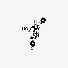 O=C(O)CC(NC(=O)OCc1ccccc1)C(=O)Cn1nnc(C[S+]([O-])c2ccc(Cl)cc2)n1